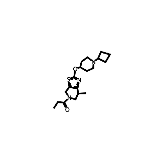 CCC(=O)N1Cc2sc(OC3CCN(C4CCC4)CC3)nc2C(C)C1